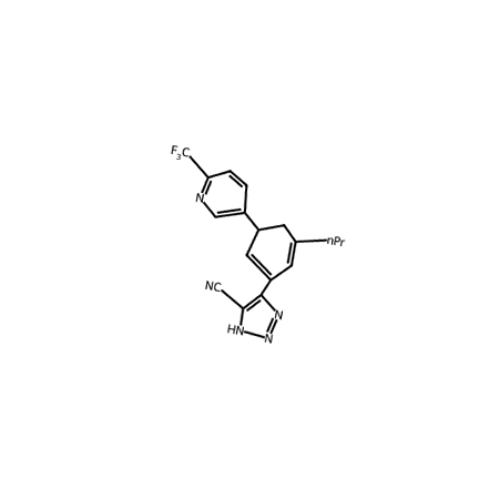 CCCC1=CC(c2nn[nH]c2C#N)=CC(c2ccc(C(F)(F)F)nc2)C1